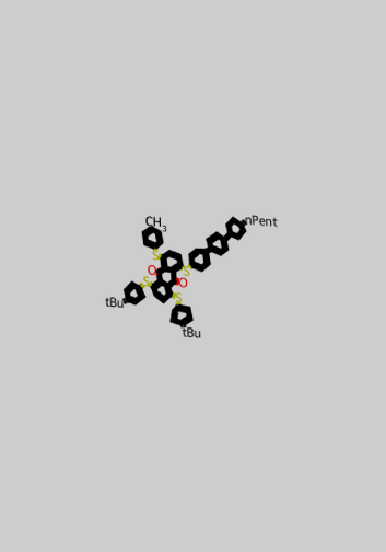 CCCCCC1CCC(c2ccc(-c3ccc(Sc4ccc(Sc5ccc(C)cc5)c5c4C(=O)c4c(Sc6ccc(C(C)(C)C)cc6)ccc(Sc6ccc(C(C)(C)C)cc6)c4C5=O)cc3)cc2)CC1